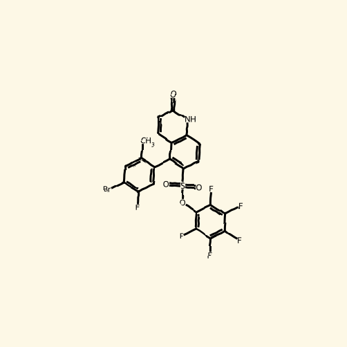 Cc1cc(Br)c(F)cc1-c1c(S(=O)(=O)Oc2c(F)c(F)c(F)c(F)c2F)ccc2[nH]c(=O)ccc12